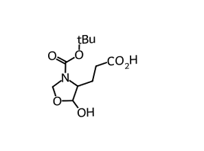 CC(C)(C)OC(=O)N1COC(O)C1CCC(=O)O